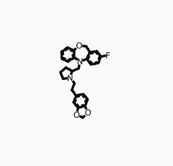 Fc1ccc2c(c1)COc1ccccc1N2CC1CCCN1CCc1ccc2c(c1)OCO2